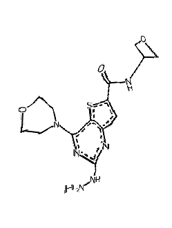 NNc1nc(N2CCOCC2)c2sc(C(=O)NC3COC3)cc2n1